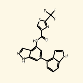 O=C(Nc1cc(-c2cccc3[nH]ccc23)cc2[nH]ncc12)c1csc(C(F)(F)F)n1